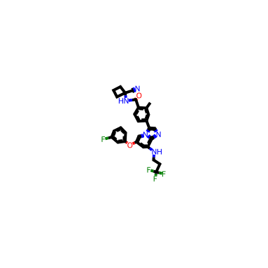 Cc1cc(-c2cnc3c(NCCC(F)(F)F)cc(Oc4cccc(F)c4)cn23)ccc1C(=O)NC1(C#N)CCC1